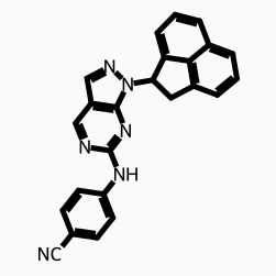 N#Cc1ccc(Nc2ncc3cnn(C4Cc5cccc6cccc4c56)c3n2)cc1